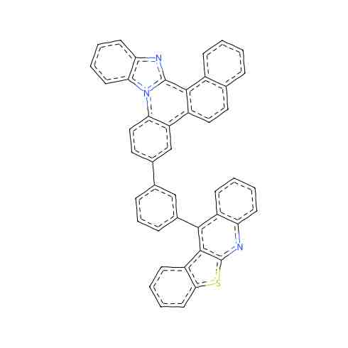 c1cc(-c2ccc3c(c2)c2ccc4ccccc4c2c2nc4ccccc4n32)cc(-c2c3ccccc3nc3sc4ccccc4c23)c1